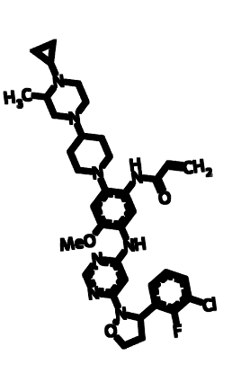 C=CC(=O)Nc1cc(Nc2cc(N3OCCC3c3cccc(Cl)c3F)ncn2)c(OC)cc1N1CCC(N2CCN(C3CC3)C(C)C2)CC1